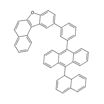 C1=CC2=CC=CC(c3c4ccccc4c(-c4cccc(-c5ccc6oc7ccc8ccccc8c7c6c5)c4)c4ccccc34)C2C=C1